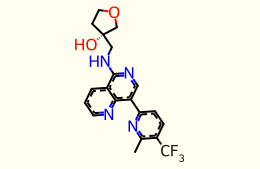 Cc1nc(-c2cnc(NC[C@@]3(O)CCOC3)c3cccnc23)ccc1C(F)(F)F